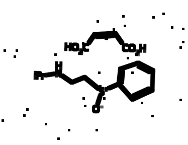 CC(C)NCC[S+]([O-])c1ccccc1.O=C(O)/C=C\C(=O)O